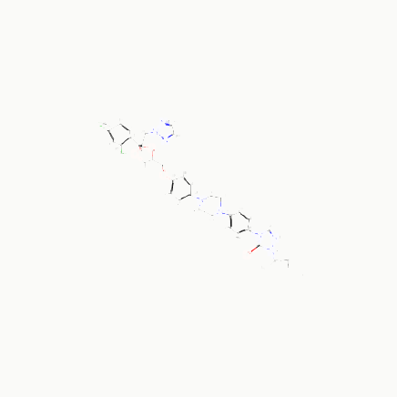 CCC(C)n1ncn(-c2ccc(N3CCN(c4ccc(OCC5COC(Cn6nccn6)(c6ccc(Cl)cc6Cl)O5)cc4)CC3)cc2)c1=O